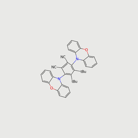 CC(C)(C)c1c(N2c3ccccc3Oc3ccccc32)c(C#N)c(C#N)c(N2c3ccccc3Oc3ccccc32)c1C(C)(C)C